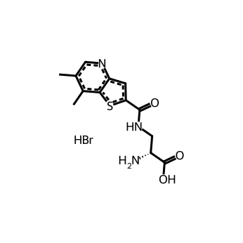 Br.Cc1cnc2cc(C(=O)NC[C@@H](N)C(=O)O)sc2c1C